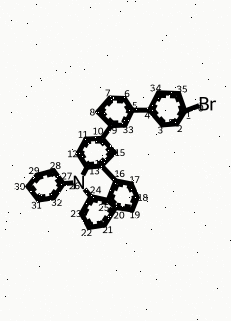 Brc1ccc(-c2cccc(-c3ccc4c(c3)-c3cccc5cccc(c35)N4c3ccccc3)c2)cc1